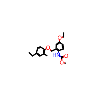 CCOc1ccc(NC(=O)OC)c(COc2ccc(CC)cc2C)c1